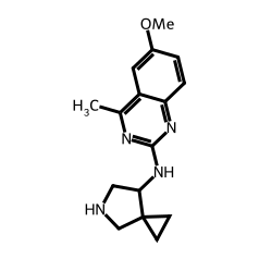 COc1ccc2nc(NC3CNCC34CC4)nc(C)c2c1